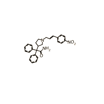 NC(=O)C(c1ccccc1)(c1ccccc1)C1CCN(C/C=C/c2ccc([N+](=O)[O-])cc2)C1